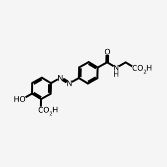 O=C(O)CNC(=O)c1ccc(N=Nc2ccc(O)c(C(=O)O)c2)cc1